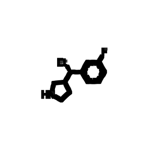 CC[C@@H](c1cccc(F)c1)C1CCNC1